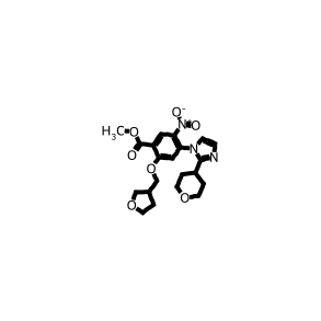 COC(=O)c1cc([N+](=O)[O-])c(-n2ccnc2C2CCOCC2)cc1OCC1CCOC1